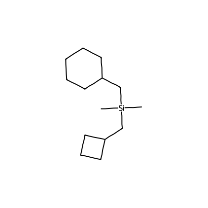 C[Si](C)(CC1CCCCC1)CC1CCC1